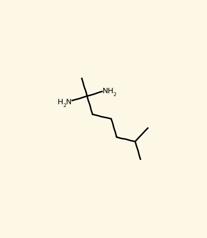 CC(C)CCCC(C)(N)N